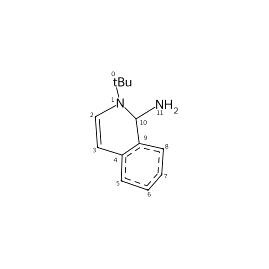 CC(C)(C)N1C=Cc2ccccc2C1N